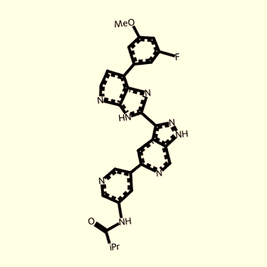 COc1cc(F)cc(-c2ccnc3[nH]c(-c4n[nH]c5cnc(-c6cncc(NC(=O)C(C)C)c6)cc45)nc23)c1